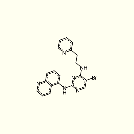 Brc1cnc(Nc2cccc3ncccc23)nc1NCCc1ccccn1